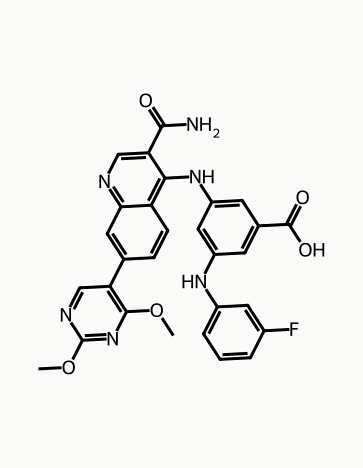 COc1ncc(-c2ccc3c(Nc4cc(Nc5cccc(F)c5)cc(C(=O)O)c4)c(C(N)=O)cnc3c2)c(OC)n1